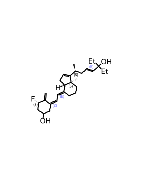 C=C1/C(=C\C=C2/CCC[C@]3(C)C([C@@H](C)C/C=C/C(O)(CC)CC)=CC[C@@H]23)CC(O)C[C@@H]1F